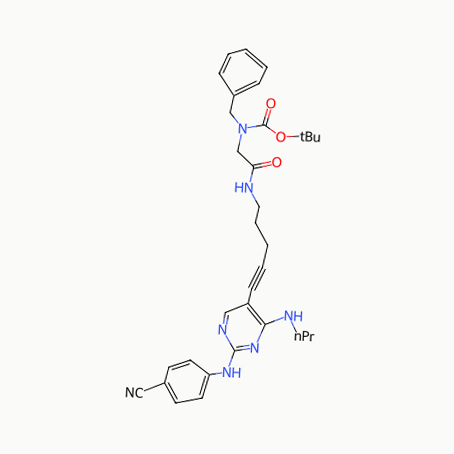 CCCNc1nc(Nc2ccc(C#N)cc2)ncc1C#CCCCNC(=O)CN(Cc1ccccc1)C(=O)OC(C)(C)C